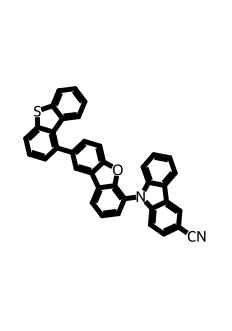 N#Cc1ccc2c(c1)c1ccccc1n2-c1cccc2c1oc1ccc(-c3cccc4sc5ccccc5c34)cc12